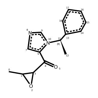 CC1OC1C(=O)c1cncn1[C@H](C)c1ccccc1